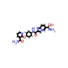 NC(=O)c1cccnc1O[C@H]1CC[C@H](NC(=O)c2cn3cc(C(N)O)ccc3n2)CC1